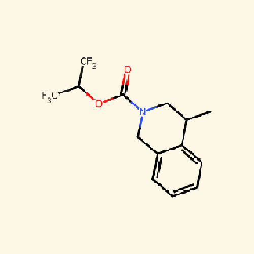 CC1CN(C(=O)OC(C(F)(F)F)C(F)(F)F)Cc2ccccc21